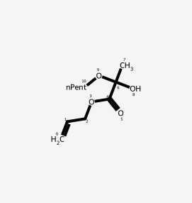 C=CCOC(=O)C(C)(O)OCCCCC